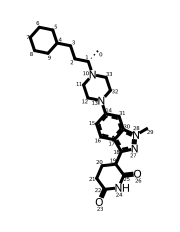 C[C@@H](CCC1CCCCC1)N1CCN(c2ccc3c(C4CCC(=O)NC4=O)nn(C)c3c2)CC1